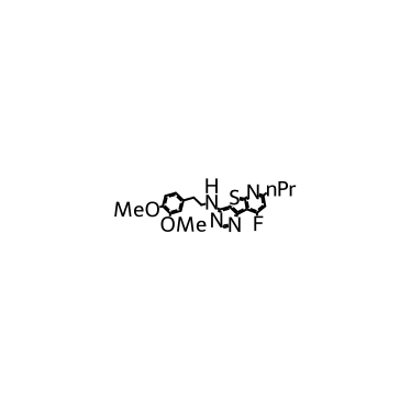 CCCc1cc(F)c2c(n1)sc1c(NCCc3ccc(OC)c(OC)c3)ncnc12